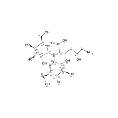 NC[C@H](O)CC[C@@H](C(=O)O)N(C1O[C@H](CO)[C@H](O)[C@H](O)[C@H]1O)[13CH]1O[13C@H]([13CH2]O)[13C@@H](O)[13C@H](O)[13C@H]1O